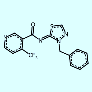 O=C(N=c1scnn1Cc1ccccc1)c1cnccc1C(F)(F)F